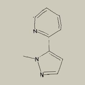 Cn1nccc1-c1ccc[c]n1